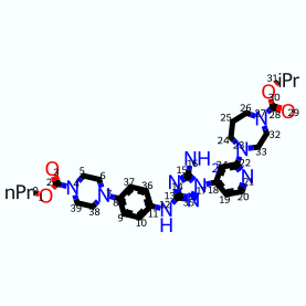 CCCOC(=O)N1CCN(c2ccc(Nc3nc(N)n(-c4ccnc(N5CCCN(C(=O)OC(C)C)CC5)c4)n3)cc2)CC1